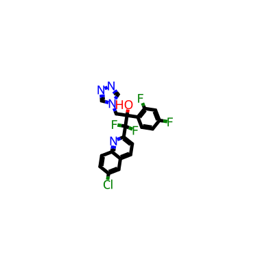 OC(Cn1cnnc1)(c1ccc(F)cc1F)C(F)(F)c1ccc2cc(Cl)ccc2n1